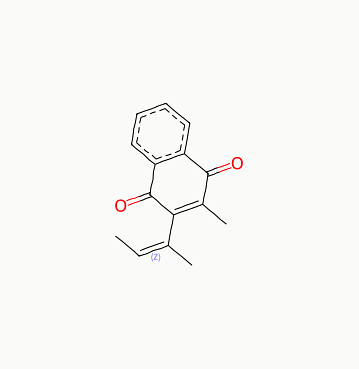 C/C=C(/C)C1=C(C)C(=O)c2ccccc2C1=O